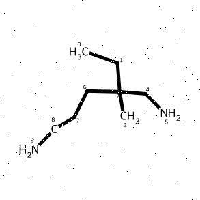 CCC(C)(CN)CCCN